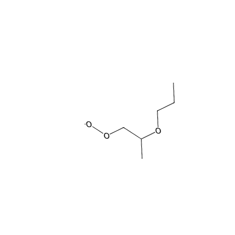 CCCOC(C)CO[O]